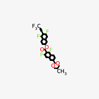 CC1COC(c2ccc3c(F)c(C(=O)Oc4ccc5c(F)c(C#CC(F)(F)F)c(F)cc5c4)c(F)cc3c2)OC1